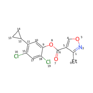 CCc1nocc1C(=O)Oc1cc(C2CC2)c(Cl)cc1Cl